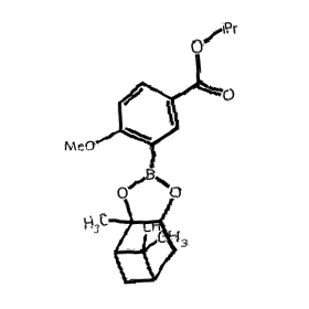 COc1ccc(C(=O)OC(C)C)cc1B1OC2CC3CC(C3(C)C)C2(C)O1